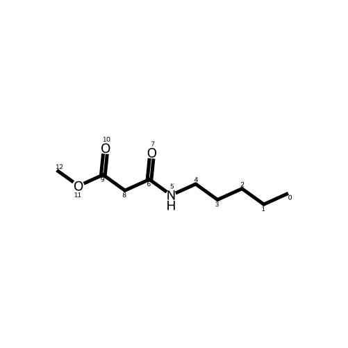 CCCCCNC(=O)CC(=O)OC